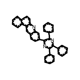 c1ccc(-c2nc(-c3ccccc3)c(-c3ccc4cc5c(ccc6ccccc65)nc4c3)nc2-c2ccccc2)cc1